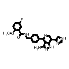 COc1ccc(F)cc1C(=O)NCc1ccc(-c2ncc(-c3c[nH]cn3)c3[nH]nc(N)c23)cc1